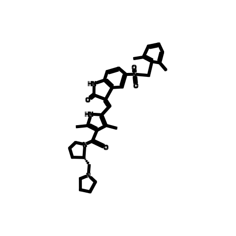 Cc1cccc(C)c1CS(=O)(=O)c1ccc2c(c1)/C(=C/c1[nH]c(C)c(C(=O)N3CCC[C@H]3CN3CCCC3)c1C)C(=O)N2